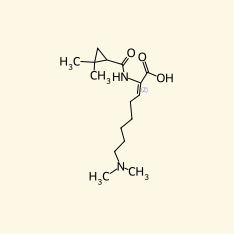 CN(C)CCCCC/C=C(\NC(=O)C1CC1(C)C)C(=O)O